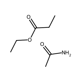 CC(N)=O.CCOC(=O)CC